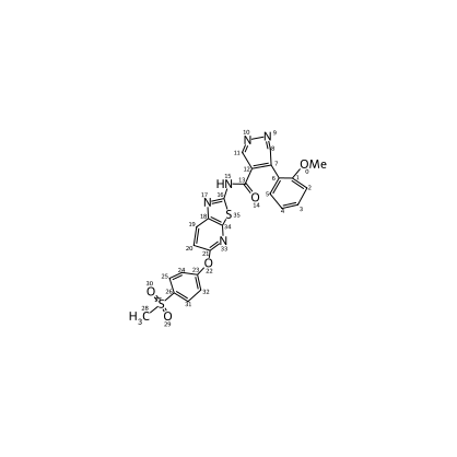 COc1ccccc1-c1cnncc1C(=O)Nc1nc2ccc(Oc3ccc(S(C)(=O)=O)cc3)nc2s1